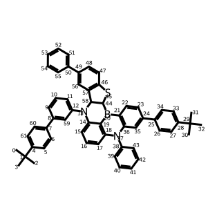 CC(C)(C)c1ccc(-c2cccc(N3c4cccc5c4B(c4ccc(-c6ccc(C(C)(C)C)cc6)cc4N5c4ccccc4)C4Sc5ccc(-c6ccccc6)cc5C43)c2)cc1